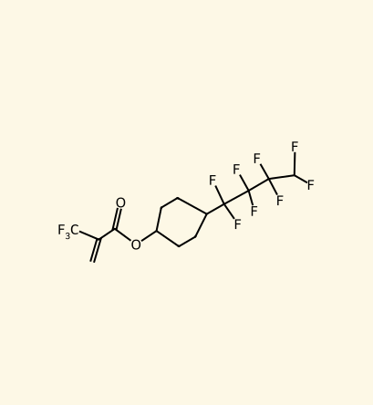 C=C(C(=O)OC1CCC(C(F)(F)C(F)(F)C(F)(F)C(F)F)CC1)C(F)(F)F